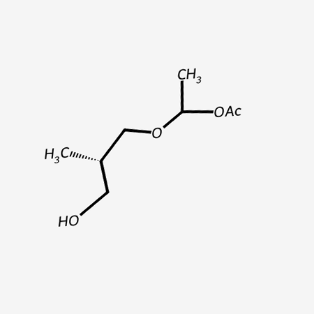 CC(=O)OC(C)OC[C@@H](C)CO